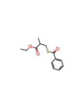 CCOC(=O)C(C)CSC(=O)c1ccccc1